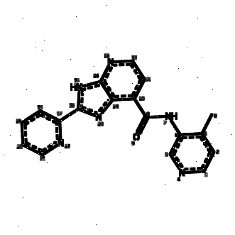 Cc1ccncc1NC(=O)c1ccnc2[nH]c(-c3ccccn3)nc12